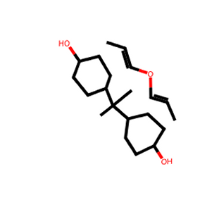 CC(C)(C1CCC(O)CC1)C1CCC(O)CC1.CC=COC=CC